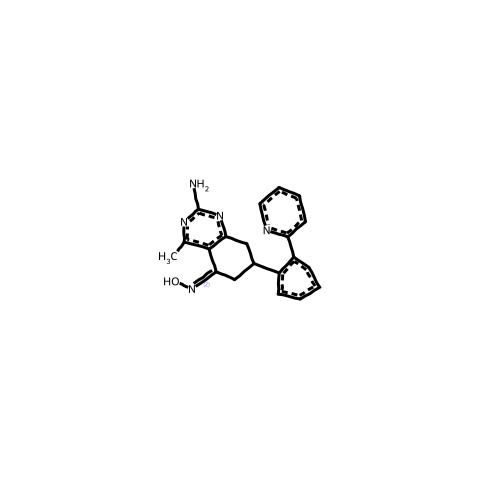 Cc1nc(N)nc2c1/C(=N\O)CC(c1ccccc1-c1ccccn1)C2